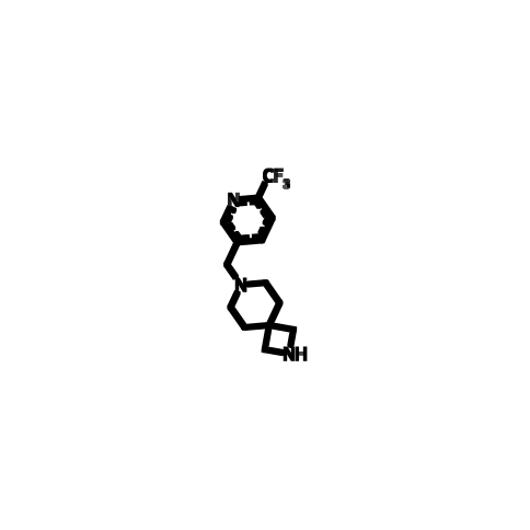 FC(F)(F)c1ccc(CN2CCC3(CC2)CNC3)cn1